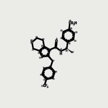 C[C@H](NC(=O)c1c(Cc2ccc(C(F)(F)F)cc2)sc2c1CCOC2)c1ccc(C(=O)O)cc1